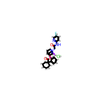 O=C(C[N+]12CCC(CC1)C(OC(=O)C1(c3ccccc3I)CCCCCC1)C2I)Nc1ccc(F)cn1.[Cl-]